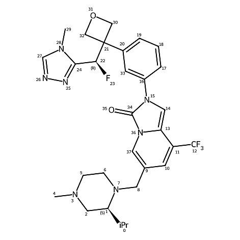 CC(C)[C@H]1CN(C)CCN1Cc1cc(C(F)(F)F)c2cn(-c3cccc(C4([C@@H](F)c5nncn5C)COC4)c3)c(=O)n2c1